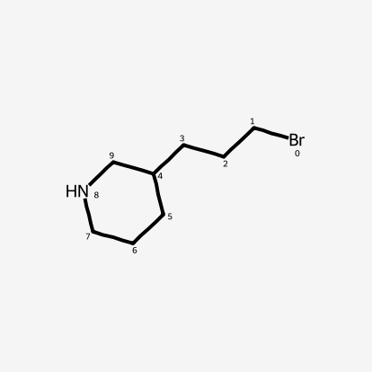 BrCCCC1CCCNC1